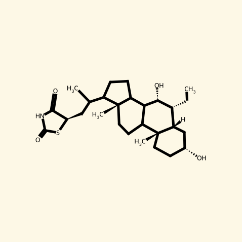 CC[C@H]1[C@@H](O)C2C3CCC(C(C)C[C@H]4SC(=O)NC4=O)[C@@]3(C)CCC2[C@@]2(C)CC[C@@H](O)C[C@@H]12